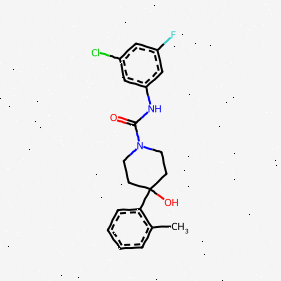 Cc1ccccc1C1(O)CCN(C(=O)Nc2cc(F)cc(Cl)c2)CC1